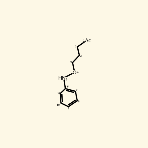 CC(=O)CCCONc1ccccc1